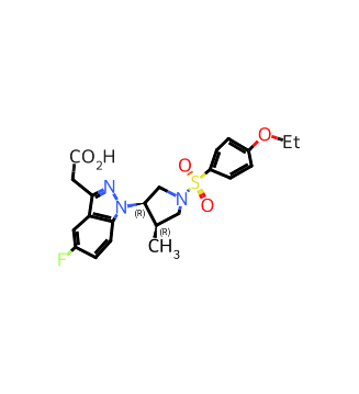 CCOc1ccc(S(=O)(=O)N2C[C@@H](C)[C@@H](n3nc(CC(=O)O)c4cc(F)ccc43)C2)cc1